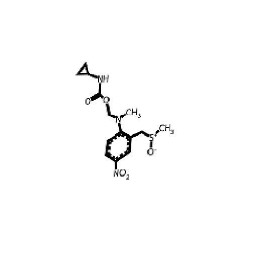 CN(COC(=O)NC1CC1)c1ccc([N+](=O)[O-])cc1C[S+](C)[O-]